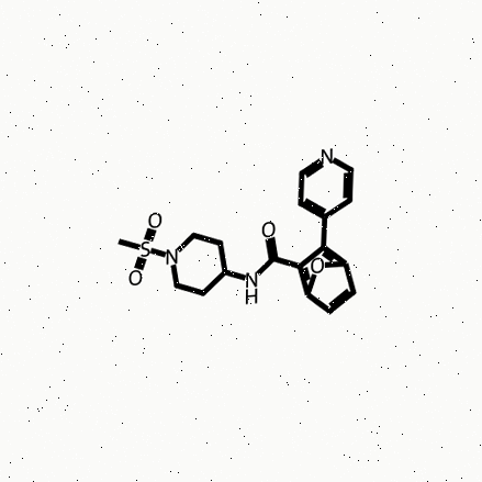 CS(=O)(=O)N1CCC(NC(=O)c2c(-c3ccncc3)c3ccc2o3)CC1